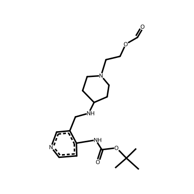 CC(C)(C)OC(=O)Nc1ccncc1CNC1CCN(CCOC=O)CC1